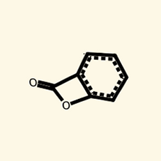 O=C1Oc2ccc[c]c21